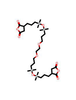 C[Si](C)(CCCOCCOCCC[Si](C)(C)O[Si](C)(C)CCCC1CC(=O)OC1=O)O[Si](C)(C)CCCC1CC(=O)OC1=O